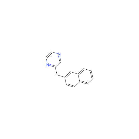 [CH](c1ccc2ccccc2c1)c1cnccn1